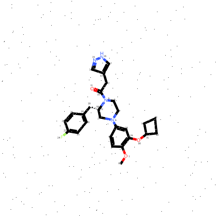 COc1ccc(N2CCN(C(=O)Cc3cn[nH]c3)[C@@H](Cc3ccc(F)cc3)C2)cc1OC1CCC1